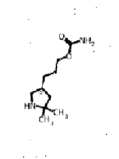 CC1(C)C[C@H](CCCOC(N)=O)CN1